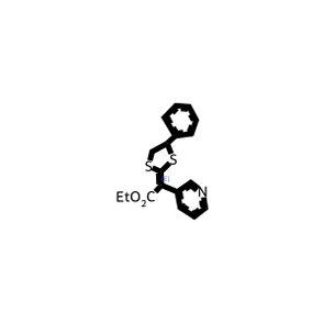 CCOC(=O)/C(=C1\SCC(c2ccccc2)S1)c1cccnc1